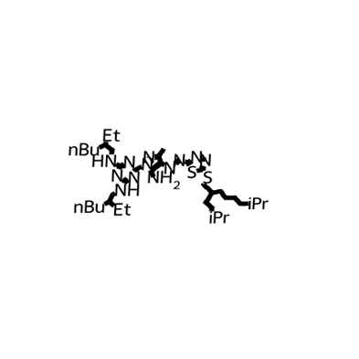 CCCCC(CC)CNc1nc(NCC(CC)CCCC)nc(-n2nc(C)c(/N=N/c3nnc(SCC(CCCCC(C)C)CCC(C)C)s3)c2N)n1